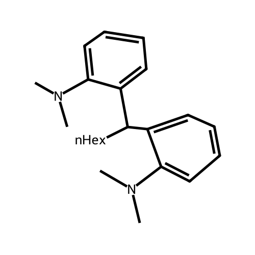 CCCCCCC(c1ccccc1N(C)C)c1ccccc1N(C)C